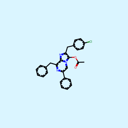 CC(=O)Oc1c(Cc2ccc(Cl)cc2)nc2c(Cc3ccccc3)nc(-c3ccccc3)cn12